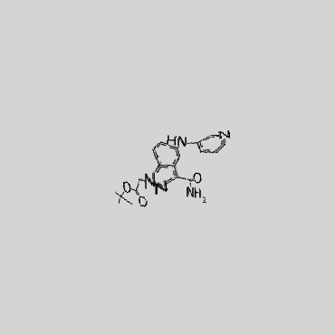 CC(C)(C)OC(=O)Cn1nc(C(N)=O)c2cc(Nc3cccnc3)ccc21